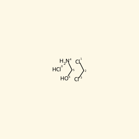 Cl.ClCCl.NCO